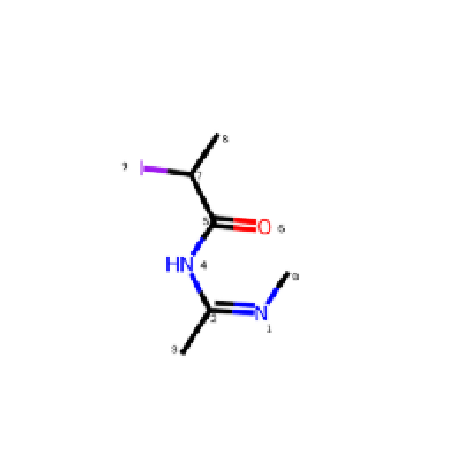 C/N=C(/C)NC(=O)C(C)I